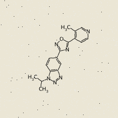 Cc1cnccc1-c1nc(-c2ccc3c(c2)nnn3C(C)C)no1